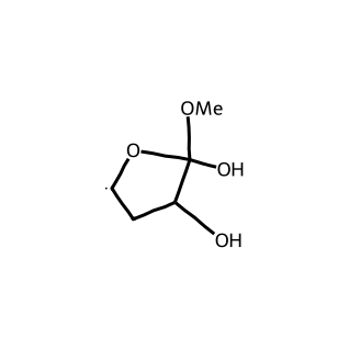 COC1(O)O[CH]CC1O